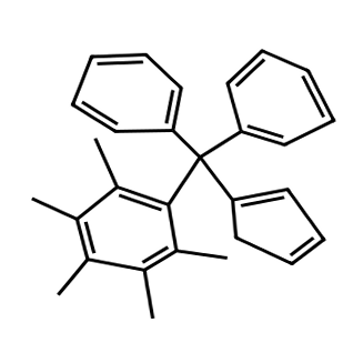 Cc1c(C)c(C)c(C(C2=CC=CC2)(c2ccccc2)c2ccccc2)c(C)c1C